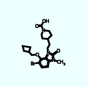 Cn1c(=O)n(CCC2CCN(C(=O)O)CC2)c2c(OCC3CCC3)c(Br)ccc21